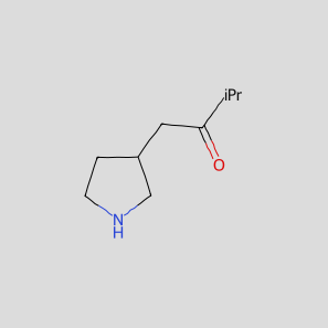 CC(C)C(=O)CC1CCNC1